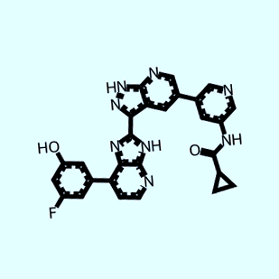 O=C(Nc1cncc(-c2cnc3[nH]nc(-c4nc5c(-c6cc(O)cc(F)c6)ccnc5[nH]4)c3c2)c1)C1CC1